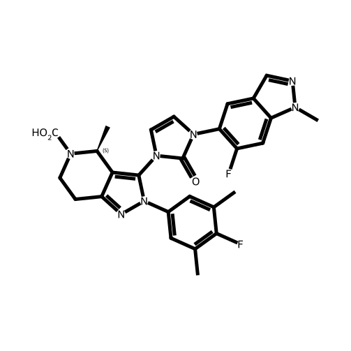 Cc1cc(-n2nc3c(c2-n2ccn(-c4cc5cnn(C)c5cc4F)c2=O)[C@H](C)N(C(=O)O)CC3)cc(C)c1F